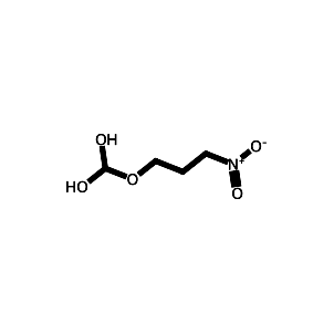 O=[N+]([O-])CCCOC(O)O